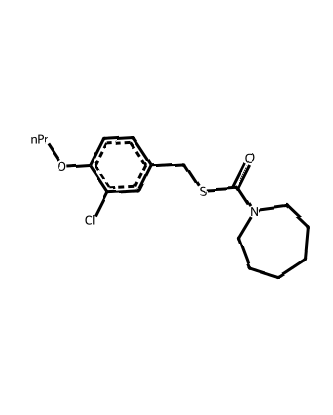 CCCOc1ccc(CSC(=O)N2CCCCCC2)cc1Cl